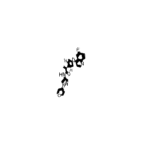 CC(C(=O)Nc1cnn(C2CCOCC2)c1)[C@H]1[C@@H]2C[C@@H](Oc3ccnc4ccc(F)cc34)C[C@@H]21